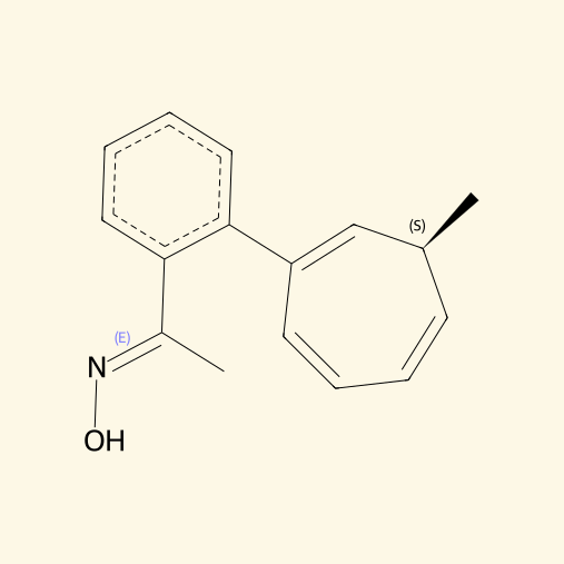 C/C(=N\O)c1ccccc1C1=C[C@@H](C)C=CC=C1